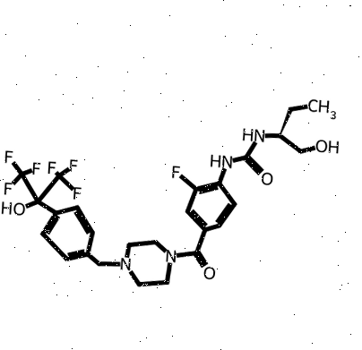 CC[C@@H](CO)NC(=O)Nc1ccc(C(=O)N2CCN(Cc3ccc(C(O)(C(F)(F)F)C(F)(F)F)cc3)CC2)cc1F